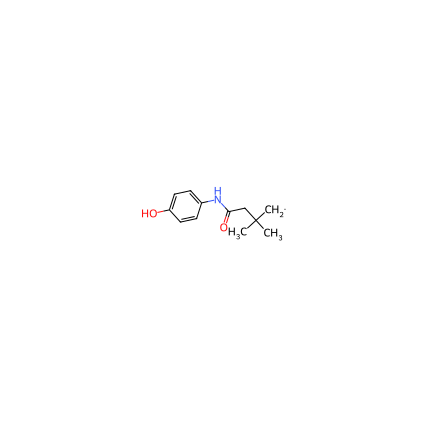 [CH2]C(C)(C)CC(=O)Nc1ccc(O)cc1